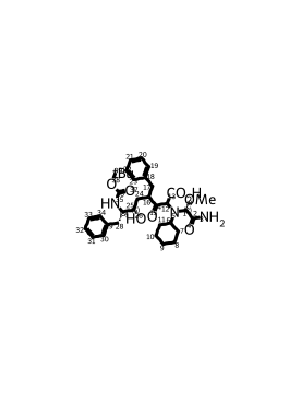 CO[C@H](C(N)=O)N(C1CCCCC1)C(C(=O)O)C(=O)C(Cc1ccccc1)C[C@H](O)[C@H](Cc1ccccc1)NC(=O)OC(C)(C)C